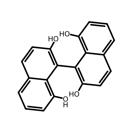 Oc1ccc2cccc(O)c2c1-c1c(O)ccc2cccc(O)c12